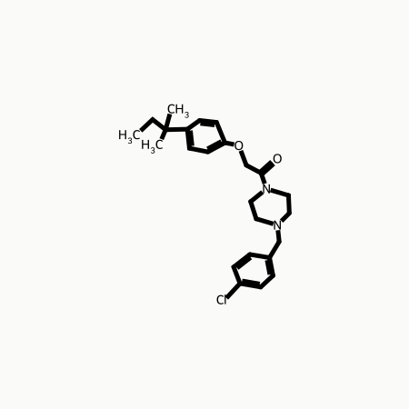 CCC(C)(C)c1ccc(OCC(=O)N2CCN(Cc3ccc(Cl)cc3)CC2)cc1